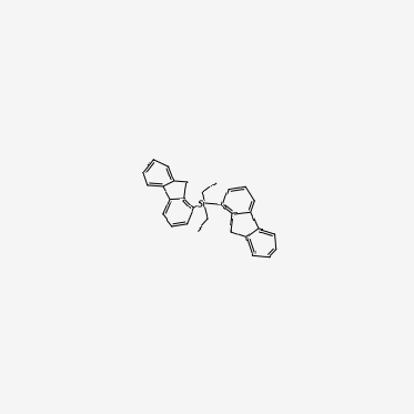 CC[Si](CC)(c1cccc2c1Cc1ccccc1-2)c1cccc2c1Cc1ccccc1-2